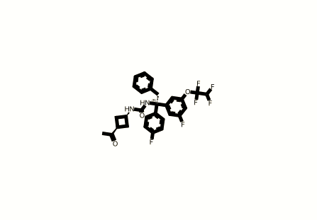 CC(=O)[C@H]1C[C@H](NC(=O)N[C@](Cc2ccccc2)(c2ccc(F)cc2)c2cc(F)cc(OC(F)(F)C(F)F)c2)C1